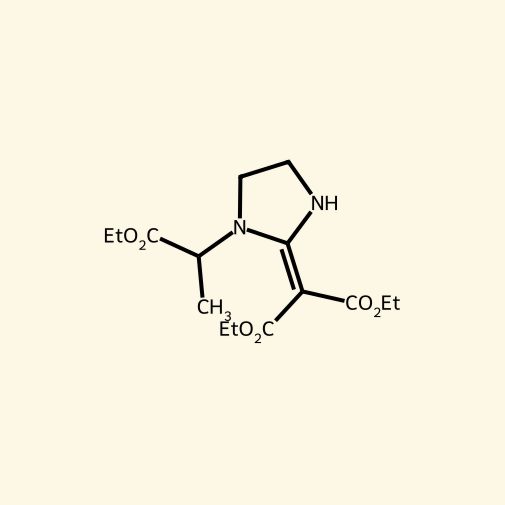 CCOC(=O)C(C(=O)OCC)=C1NCCN1C(C)C(=O)OCC